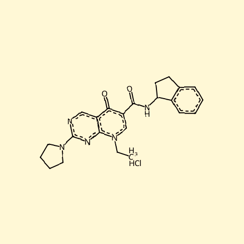 CCn1cc(C(=O)NC2CCc3ccccc32)c(=O)c2cnc(N3CCCC3)nc21.Cl